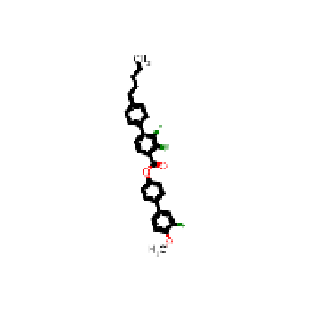 CCCCCc1ccc(-c2ccc(C(=O)Oc3ccc(-c4ccc(OC)c(F)c4)cc3)c(F)c2F)cc1